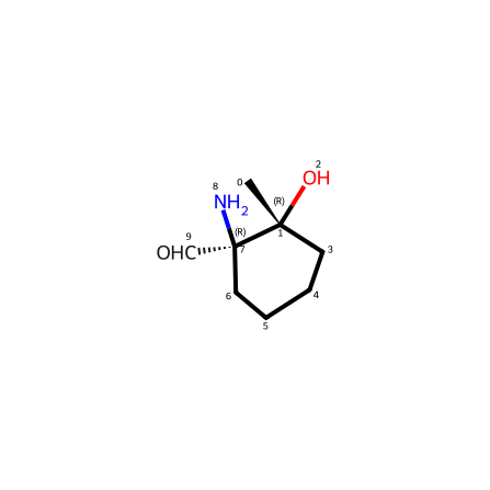 C[C@@]1(O)CCCC[C@]1(N)C=O